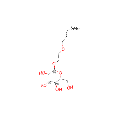 CSCCCOCCO[C@H]1OC(CO)[C@@H](O)[C@H](O)C1O